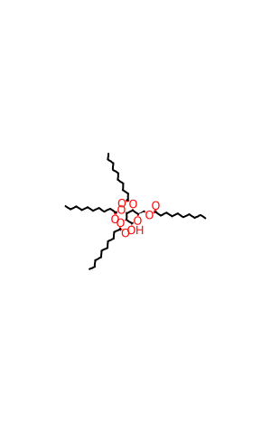 CCCCCCCCCC(=O)OC[C@H]1O[C@H](O)[C@H](OC(=O)CCCCCCCCC)[C@@H](OC(=O)CCCCCCCCC)[C@@H]1OC(=O)CCCCCCCCC